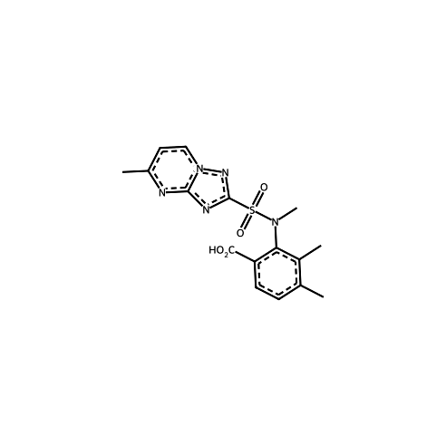 Cc1ccn2nc(S(=O)(=O)N(C)c3c(C(=O)O)ccc(C)c3C)nc2n1